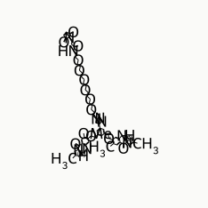 COc1cc2c(cc1OCc1cc(COc3cc4c(cc3C)C(=O)N3C=C(C)C[C@H]3C=N4)cc(-c3cn(CCOCCOCCOCCOCCOCCOCCNC(=O)CCN4C(=O)C=CC4=O)nn3)c1)N=C[C@@H]1CC(C)=CN1C2=O